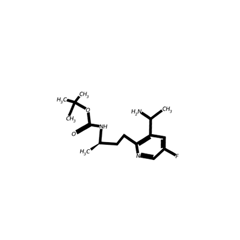 CC(N)c1cc(F)cnc1CC[C@@H](C)NC(=O)OC(C)(C)C